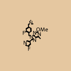 COc1nc(C)c2nc(-c3cncc(F)c3)n(Cc3ccc(CN(C)C)cc3F)c2n1